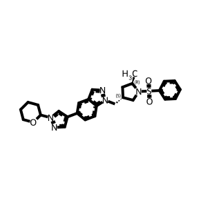 C[C@@H]1C[C@@H](Cn2ncc3cc(-c4cnn(C5CCCCO5)c4)ccc32)CN1S(=O)(=O)c1ccccc1